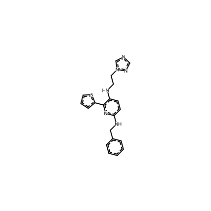 c1ccc(CNc2ccc(NCCn3cncn3)c(-c3cccs3)n2)cc1